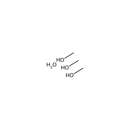 CO.CO.CO.O